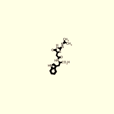 CC(C)=N/N=C1\NC(=O)C(CC(=O)NC(Cc2c[nH]c3ccccc23)C(=O)O)S1